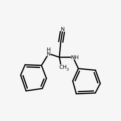 CC(C#N)(Nc1ccccc1)Nc1ccccc1